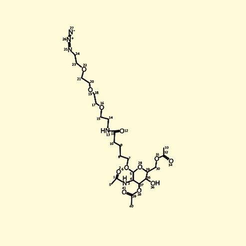 CC(=O)NC1C(OCCCCC(=O)NCCOCCOCCOCCN=[N+]=[N-])OC(COC(C)=O)C(O)C1OC(C)=O